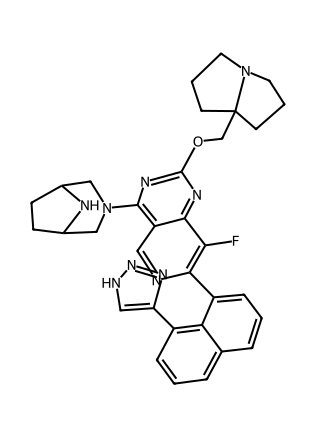 Fc1c(-c2cccc3cccc(-c4c[nH]nn4)c23)ncc2c(N3CC4CCC(C3)N4)nc(OCC34CCCN3CCC4)nc12